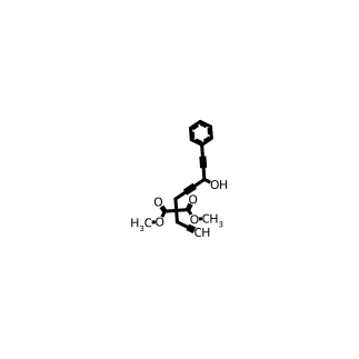 C#CCC(CC#CC(O)C#Cc1ccccc1)(C(=O)OC)C(=O)OC